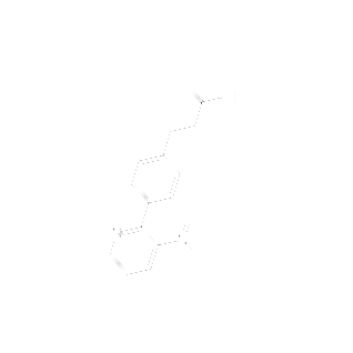 O=C(O)CCc1ccc(-c2ncccc2[N+](=O)[O-])cc1